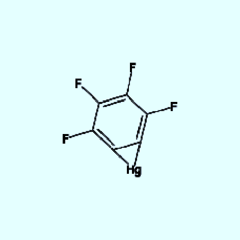 Fc1c(F)c(F)[c]2[c](c1F)[Hg]2